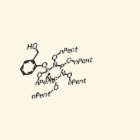 CCCCCON1P(OCCCCC)N=P(OCCCCC)(Oc2ccccc2CO)N(OCCCCC)P1OCCCCC